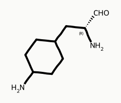 NC1CCC(C[C@@H](N)C=O)CC1